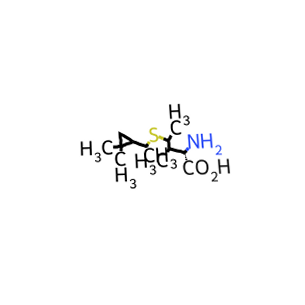 CC(SC(C)C1CC1(C)C)C(C)[C@H](N)C(=O)O